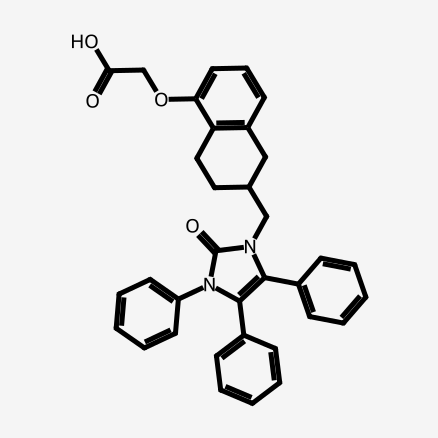 O=C(O)COc1cccc2c1CCC(Cn1c(-c3ccccc3)c(-c3ccccc3)n(-c3ccccc3)c1=O)C2